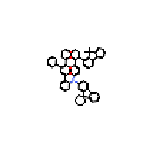 CC1(C)c2ccccc2-c2cccc(-c3ccccc3-c3ccc(N(c4ccc5c(c4)C4(CCCCC4)c4ccccc4-5)c4ccccc4-c4ccc(-c5ccccc5)c(-c5ccccc5)c4)cc3)c21